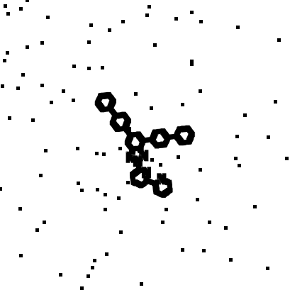 c1ccc(-c2ccc(-c3cc(-c4ccc(-c5ccccc5)cc4)c4nn(-c5cccc(-c6ccccn6)n5)nc4c3)cc2)cc1